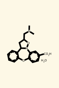 CN(C)CC1CC2c3ccccc3Oc3ccc(C(=O)O)cc3N2O1.O